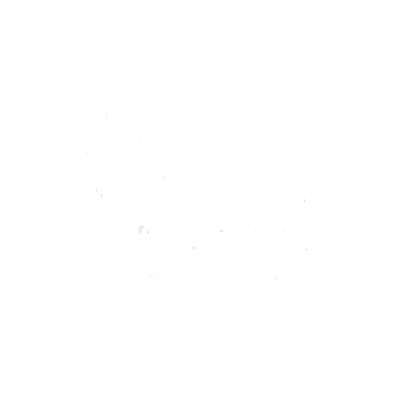 O=C(Nc1ccc(I)cn1)C1(c2ccc3c(c2)OCO3)CC1